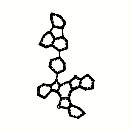 c1ccc2c(c1)-c1cccc3c(-c4ccc(-n5c6ccccc6c6c7oc8ccccc8c7c7c8ccccc8sc7c65)cc4)ccc-2c13